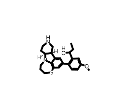 CCC(O)c1cc(OC)ccc1-c1cc2c3c(c1)[C@@H]1CNCC[C@@H]1N3CCCS2